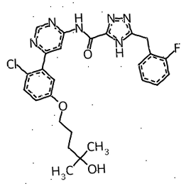 CC(C)(O)CCCOc1ccc(Cl)c(-c2cc(NC(=O)c3nnc(Cc4ccccc4F)[nH]3)ncn2)c1